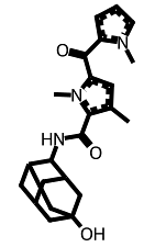 Cc1cc(C(=O)c2cccn2C)n(C)c1C(=O)NC1C2CC3CC1CC(O)(C3)C2